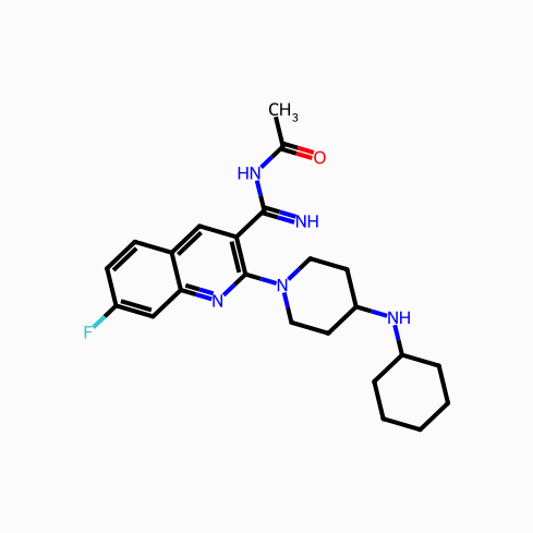 CC(=O)NC(=N)c1cc2ccc(F)cc2nc1N1CCC(NC2CCCCC2)CC1